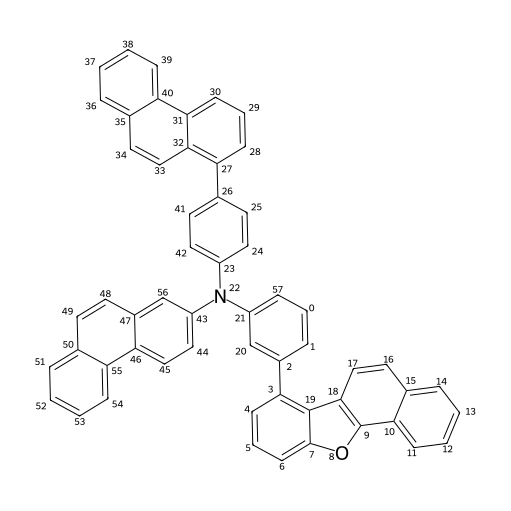 c1cc(-c2cccc3oc4c5ccccc5ccc4c23)cc(N(c2ccc(-c3cccc4c3ccc3ccccc34)cc2)c2ccc3c(ccc4ccccc43)c2)c1